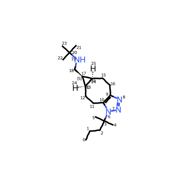 CCCC(C)(C)n1nnc2c1CC[C@@H]1[C@H](CC2)[C@@H]1CNC(C)(C)C